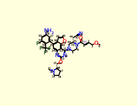 COC/C=C/C(=O)N1CCN(c2nc(OC[C@@H]3CCCN3C)nc3cc(-c4cc(N)cc(F)c4C(F)(F)F)c4ccoc4c23)C[C@@H]1CC#N